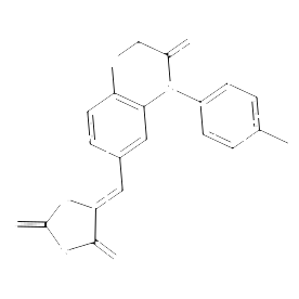 Cc1ccc(N2C(=O)COc3ccc(/C=C4\SC(=S)NC4=O)cc32)cc1